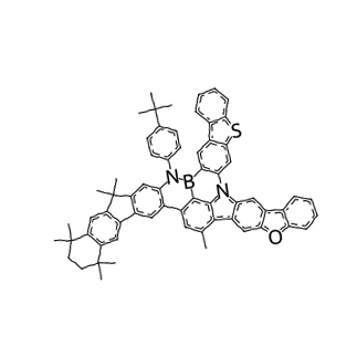 Cc1cc2c3c4c1c1cc5oc6ccccc6c5cc1n4-c1cc4sc5ccccc5c4cc1B3N(c1ccc(C(C)(C)C)cc1)c1cc3c(cc1-2)-c1cc2c(cc1C3(C)C)C(C)(C)CCC2(C)C